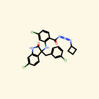 O=C(N=[N+]=NC1CCC1)c1ccc(Cl)cc1NC1(Cc2cccc(Cl)c2)C(=O)Nc2cc(Cl)ccc21